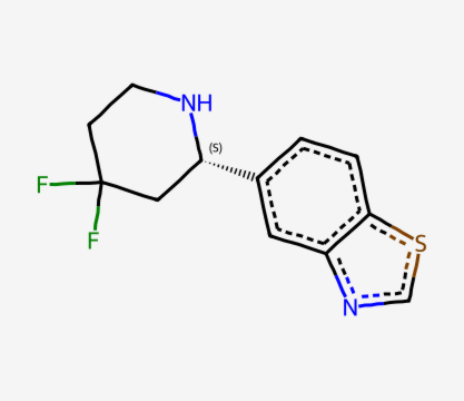 FC1(F)CCN[C@H](c2ccc3scnc3c2)C1